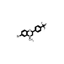 CN1CC(c2ccc(C(F)(F)F)cc2)Oc2ccc(Br)cc21